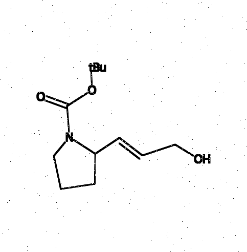 CC(C)(C)OC(=O)N1CCCC1C=CCO